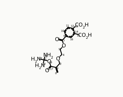 C=C(COCCOC(=O)c1ccc(C(=O)O)c(C(=O)O)c1)C(=O)OC(N)(N)N